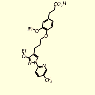 CCOc1nn(-c2ccc(C(F)(F)F)cn2)cc1CCCOc1ccc(CCC(=O)O)cc1OC(C)C